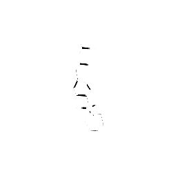 CC(=O)OC(=O)Cc1ccc(S(=O)(=O)N2CCOCC2)cc1